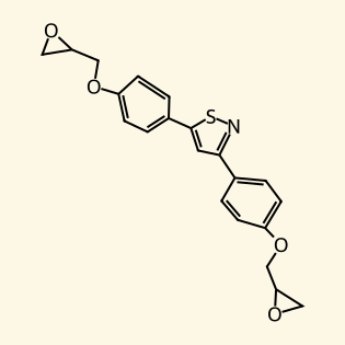 c1cc(-c2cc(-c3ccc(OCC4CO4)cc3)sn2)ccc1OCC1CO1